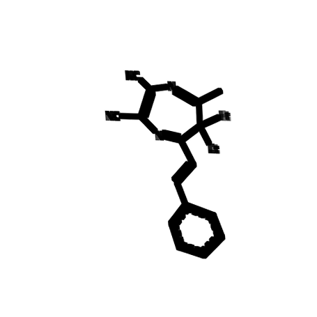 CCC1(CC)C(C)=NC(C#N)=C(C#N)N=C1/C=C/c1ccccc1